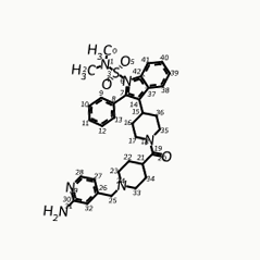 CN(C)S(=O)(=O)n1c(-c2ccccc2)c(C2CCN(C(=O)C3CCN(Cc4ccnc(N)c4)CC3)CC2)c2ccccc21